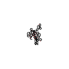 c1ccc(-c2nc(-c3ccc(-c4cccc5c4oc4ccccc45)cc3)cc(-c3ccccc3-c3ccc4c(c3)Oc3ccccc3C43c4ccccc4-c4c(-c5ccc(-c6nc(-c7ccccn7)cc(-c7ccccc7-c7ccc8c(c7)Oc7ccccc7C87c8ccccc8-c8ccccc87)n6)cc5)cccc43)n2)cc1